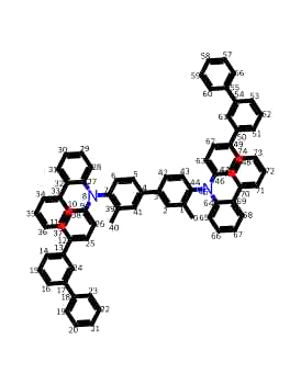 Cc1cc(-c2ccc(N(c3ccc(-c4cccc(-c5ccccc5)c4)cc3)c3ccccc3-c3ccccc3)c(C)c2)ccc1N(c1ccc(-c2cccc(-c3ccccc3)c2)cc1)c1ccccc1-c1ccccc1